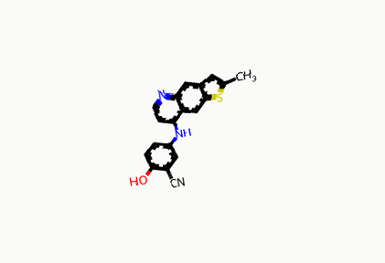 Cc1cc2cc3nccc(Nc4ccc(O)c(C#N)c4)c3cc2s1